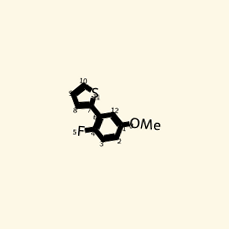 COc1ccc(F)c(-c2cc[c]s2)c1